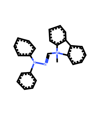 C[N+]1(C=NN(c2ccccc2)c2ccccc2)c2ccccc2-c2ccccc21